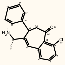 C[C@H](N)C1=Cc2cccc(Cl)c2C(=O)CC1c1ccccc1